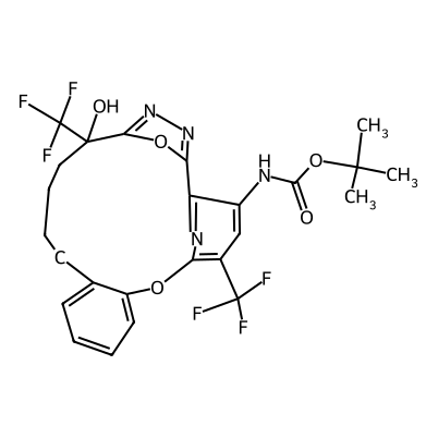 CC(C)(C)OC(=O)Nc1cc(C(F)(F)F)c2nc1-c1nnc(o1)C(O)(C(F)(F)F)CCCCc1ccccc1O2